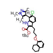 Cc1nn(C)c(C)c1-c1c(Cl)ccc2c(CCCOc3cccc4c3CCCC4)c(C(=O)OC(C)(C)C)[nH]c12